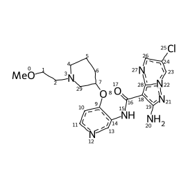 COCCN1CCCC(Oc2ccncc2NC(=O)c2c(N)nn3cc(Cl)cnc23)C1